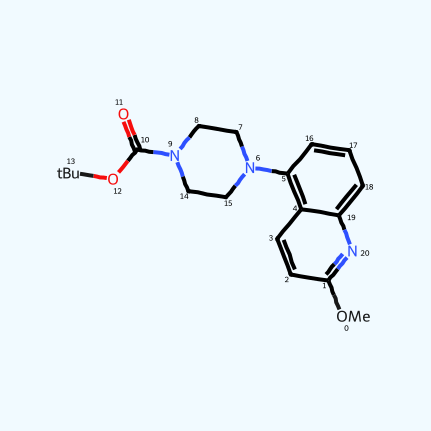 COc1ccc2c(N3CCN(C(=O)OC(C)(C)C)CC3)cccc2n1